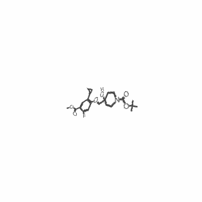 COC(=O)c1cc(C2CC2)c(OCC2(O)CCN(C(=O)OC(C)(C)C)CC2)cc1F